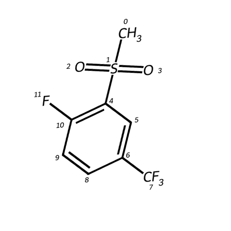 CS(=O)(=O)c1cc(C(F)(F)F)ccc1F